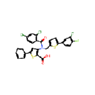 O=C(O)c1sc(-c2ccccc2)cc1N(Cc1ccc(-c2ccc(F)c(Cl)c2)s1)C(=O)c1ccc(Cl)cc1Cl